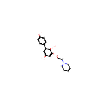 OC1=CC(c2ccc(O)cc2)C(O)C(OCCN2CCCCC2)=C1